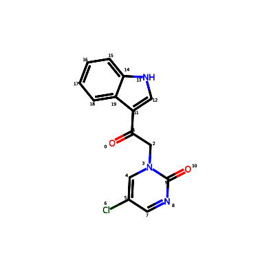 O=C(Cn1cc(Cl)cnc1=O)c1c[nH]c2ccccc12